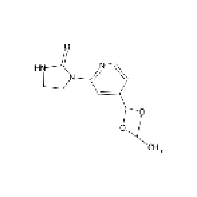 CC1OC(c2ccnc(N3CCNC3=O)c2)O1